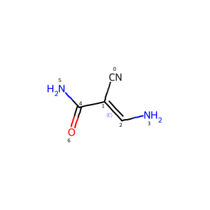 N#C/C(=C\N)C(N)=O